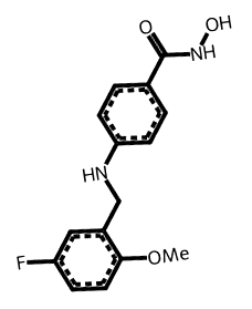 COc1ccc(F)cc1CNc1ccc(C(=O)NO)cc1